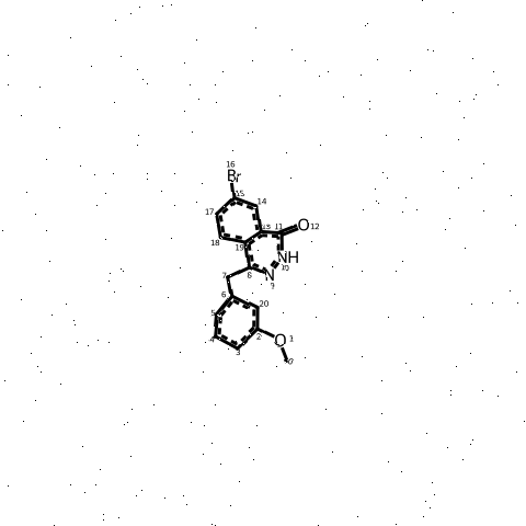 COc1cccc(Cc2n[nH]c(=O)c3cc(Br)ccc23)c1